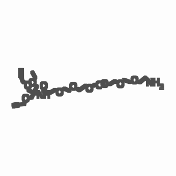 C#CCOCC(COCC)(COCC#C)NC(=O)CCOCCOCCOCCOCCOCCOCCN